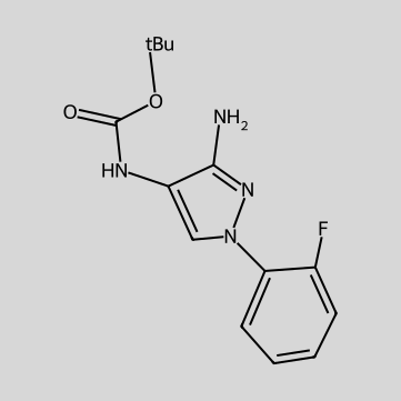 CC(C)(C)OC(=O)Nc1cn(-c2ccccc2F)nc1N